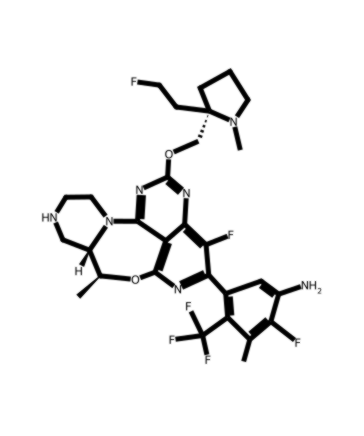 Cc1c(F)c(N)cc(-c2nc3c4c(nc(OC[C@]5(CCF)CCCN5C)nc4c2F)N2CCNC[C@H]2[C@H](C)O3)c1C(F)(F)F